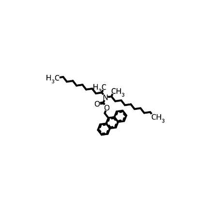 CCCCCCCCCC(C)N(C(=O)OCc1c2ccccc2cc2ccccc12)C(C)CCCCCCCCC